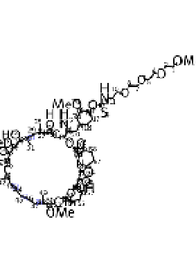 COCCOCCOCCOCCNC(=S)O[C@@H]1CC[C@@H](C[C@@H](N)[C@@H]2C[C@@H](O)[C@H](C)/C=C(\C)[C@@H](O)[C@@H](OC)C(=O)[C@H](C)C[C@H](C)/C=C/C=C/C=C(\C)[C@@H](OC)C[C@@H]3CC[C@@H](C)[C@@](O)(O3)C(=O)C(=O)N3CCCC[C@H]3C(=O)O2)C[C@H]1OC